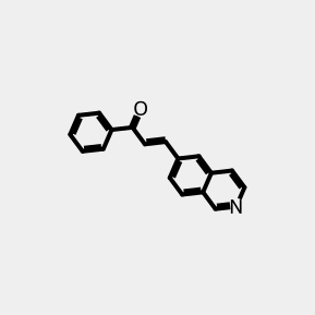 O=C(/C=C/c1ccc2cnccc2c1)c1ccccc1